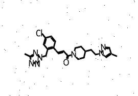 Cc1cnn(CCC2CCN(C(=O)C=Cc3ccc(Cl)cc3Cn3nnc(C)n3)CC2)c1